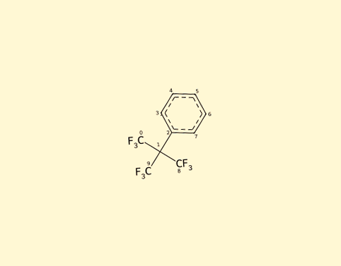 FC(F)(F)C(c1[c]cccc1)(C(F)(F)F)C(F)(F)F